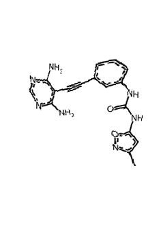 Cc1cc(NC(=O)Nc2cccc(C#Cc3c(N)ncnc3N)c2)on1